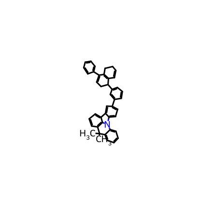 CC1(C)c2ccccc2-n2c3ccc(-c4cccc(C5CC=C(c6ccccc6)C6=C5C=CCC6)c4)cc3c3cccc1c32